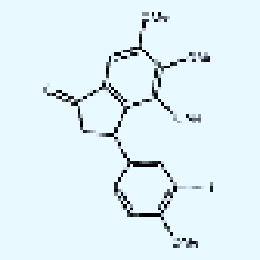 COc1ccc(C2CC(=O)c3cc(OC)c(OC)c(OC)c32)cc1Cl